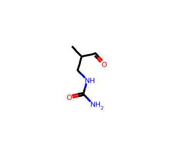 CC(C=O)CNC(N)=O